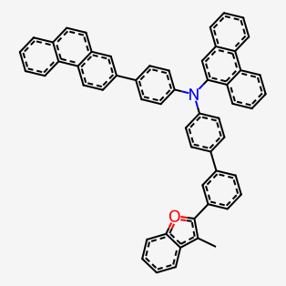 Cc1c(-c2cccc(-c3ccc(N(c4ccc(-c5ccc6c(ccc7ccccc76)c5)cc4)c4cc5ccccc5c5ccccc45)cc3)c2)oc2ccccc12